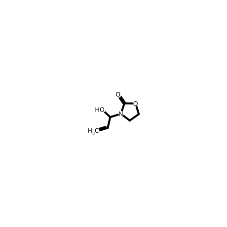 C=CC(O)N1CCOC1=O